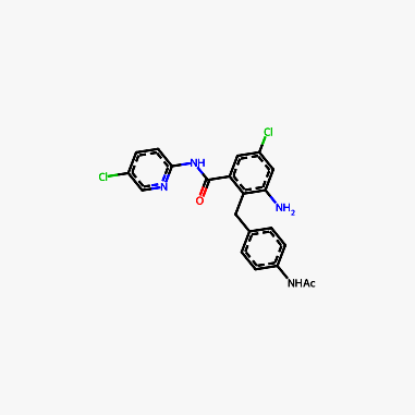 CC(=O)Nc1ccc(Cc2c(N)cc(Cl)cc2C(=O)Nc2ccc(Cl)cn2)cc1